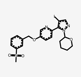 CS(=O)(=O)c1cccc(COc2ccc(-c3c(I)cnn3C3CCCCO3)nc2)c1